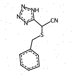 N#CC(SCc1ccccc1)c1nnn[nH]1